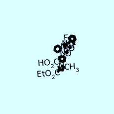 CCOC(=O)c1cc(C)n(-c2ccc(N(C(=O)n3nnn(-c4c(F)cccc4F)c3=O)C3CCCCC3)cc2C(=O)O)c1